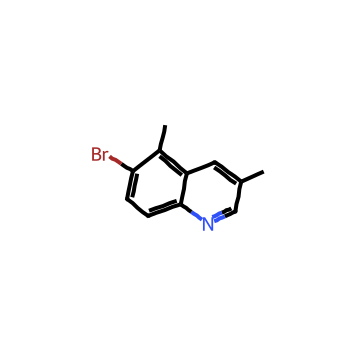 Cc1cnc2ccc(Br)c(C)c2c1